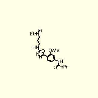 CCCC(=O)Nc1ccc(-c2nnc(NCCCN(CC)CC)o2)c(OC)c1